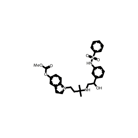 COC(=O)Oc1ccc2c(ccn2CCC(C)(C)NCC(O)c2cccc(NS(=O)(=O)c3ccccc3)c2)c1